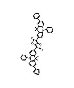 CC1(C)c2cc(C3=C4OC(=O)C(c5ccc6c(c5)C(C)(C)c5cc(-c7ccccc7)ccc5N6c5ccccc5)=C4OC3=O)ccc2N(c2ccccc2)c2ccc(-c3ccccc3)cc21